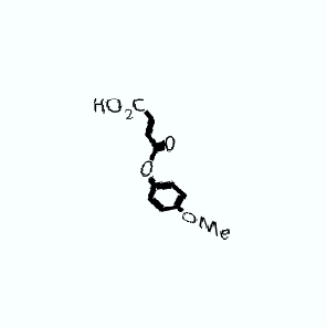 COc1ccc(OC(=O)/C=C/C(=O)O)cc1